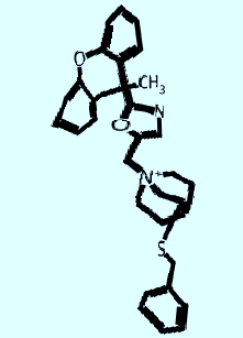 CC1(c2ncc(C[N+]34CCC(CC3)C(SCc3ccccc3)C4)o2)c2ccccc2Oc2ccccc21